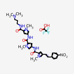 CN(C)CCCNC(=O)c1cc(NC(=O)c2cc(NC(=O)c3cc(/C=C/c4ccc([N+](=O)[O-])cc4)cn3C)cn2C)cn1C.O=C(O)C(F)(F)F